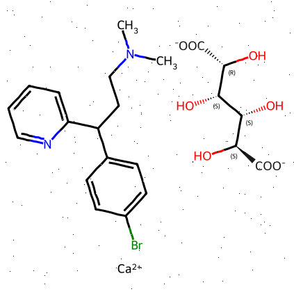 CN(C)CCC(c1ccc(Br)cc1)c1ccccn1.O=C([O-])[C@@H](O)[C@@H](O)[C@H](O)[C@@H](O)C(=O)[O-].[Ca+2]